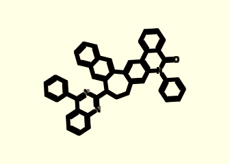 O=c1c2ccccc2c2cc3c(cc2n1-c1ccccc1)CCC(c1nc(-c2ccccc2)c2ccccc2n1)c1cc2ccccc2cc1-3